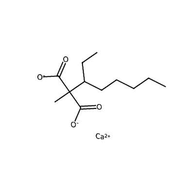 CCCCCC(CC)C(C)(C(=O)[O-])C(=O)[O-].[Ca+2]